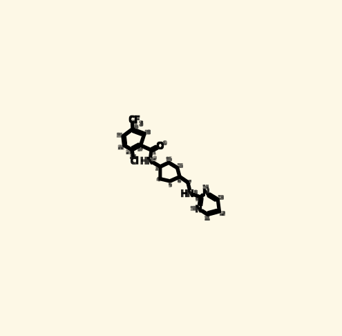 O=C(NC1CCC(CNc2ncccn2)CC1)c1cc(C(F)(F)F)ccc1Cl